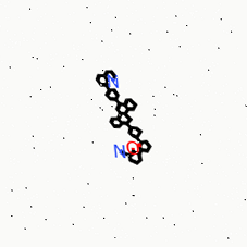 N#Cc1cccc2c1oc1c(-c3ccc(-c4cc5c6ccccc6c(-c6ccc(-c7cccc8cccnc78)cc6)cc5c5ccccc45)cc3)cccc12